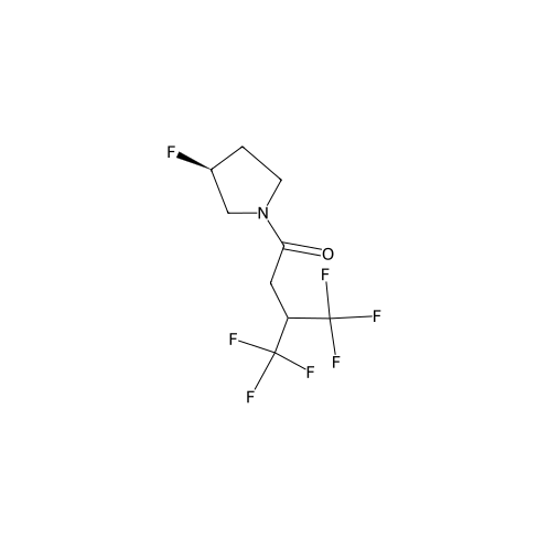 O=C(CC(C(F)(F)F)C(F)(F)F)N1CC[C@H](F)C1